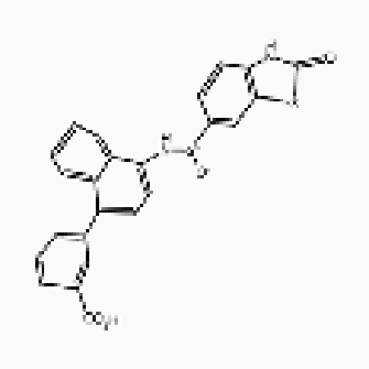 O=C(O)c1cccc(-c2ccc(N[S+]([O-])c3ccc4[nH]c(=O)sc4c3)c3ccccc23)c1